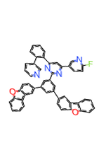 Fc1ccc(-c2cc(-c3ccccc3-c3cccnc3)nc(-c3cc(-c4ccc5oc6ccccc6c5c4)cc(-c4ccc5oc6ccccc6c5c4)c3)n2)cn1